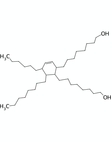 CCCCCCCCC1C(CCCCCC)C=CC(CCCCCCCCO)C1CCCCCCCCO